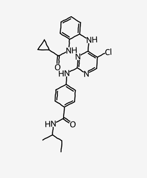 CCC(C)NC(=O)c1ccc(Nc2ncc(Cl)c(Nc3ccccc3NC(=O)C3CC3)n2)cc1